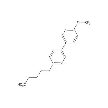 O=C(O)CCCCc1ccc(-c2ccc(OC(F)(F)F)cc2)cc1